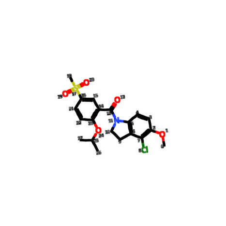 COc1ccc2c(c1Cl)CCN2C(=O)c1cc(S(C)(=O)=O)ccc1OC(C)C